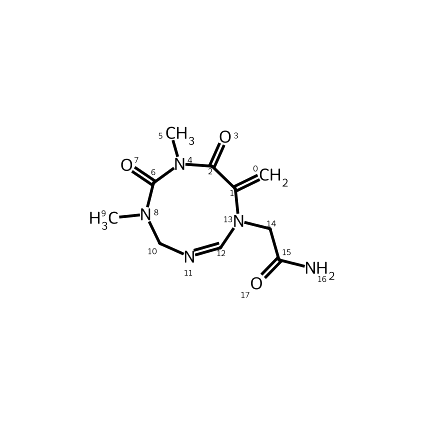 C=C1C(=O)N(C)C(=O)N(C)C/N=C\N1CC(N)=O